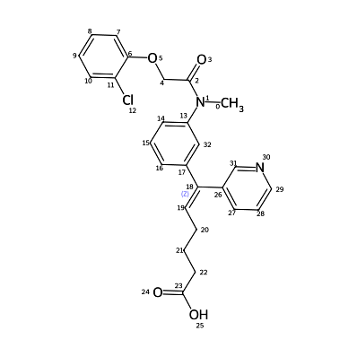 CN(C(=O)COc1ccccc1Cl)c1cccc(/C(=C/CCCC(=O)O)c2cccnc2)c1